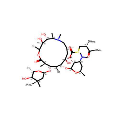 CCC1OC(=O)[C@H](C)[C@@H](O[C@H]2C[C@@](C)(OC)[C@@H](O)[C@H](CC)O2)[C@H](CC)[C@@H](O[C@@H]2O[C@H](C)C[C@H](N(C)C)[C@H]2OC(=O)SC[C@H](NC(C)=O)C(=O)OC)[C@](C)(O)C[C@@H](C)CN(C)[C@H](C)[C@@H](O)[C@]1(C)O